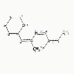 C\C=C(F)/C=N\C(C)=C/C1CCCCO1